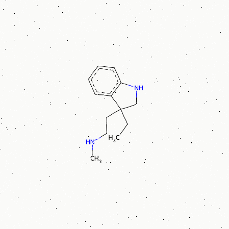 CCC1(CCNC)CNc2ccccc21